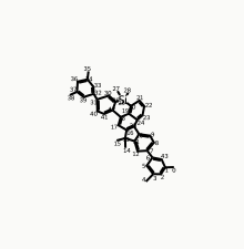 Cc1cc(C)cc(-c2ccc3c(c2)C(C)(C)c2cc4c5c(cccc5c2-3)[Si](C)(C)c2cc(-c3cc(C)cc(C)c3)ccc2-4)c1